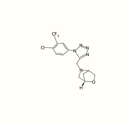 FC(F)(F)c1cc(-n2nnnc2CN2C[C@@H]3CC2CO3)ccc1Cl